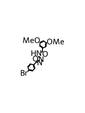 COc1cc(OC)cc(C(=O)Nc2nnc(-c3ccc(Br)cc3)o2)c1